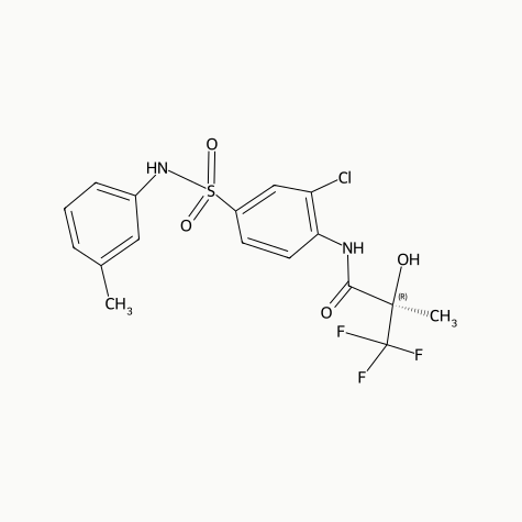 Cc1cccc(NS(=O)(=O)c2ccc(NC(=O)[C@@](C)(O)C(F)(F)F)c(Cl)c2)c1